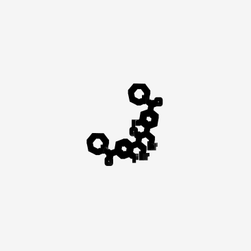 O=C(C(CBr)c1ccc(C(=O)N2CCCCCC2)cc1F)C(CBr)c1ccc(C(=O)N2CCCCCC2)cc1F